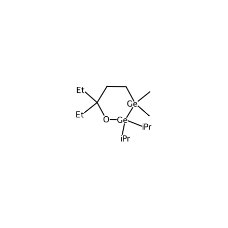 CCC1(CC)C[CH2][Ge]([CH3])([CH3])[Ge]([CH](C)C)([CH](C)C)[O]1